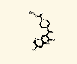 CCc1cnc2cc(C(C)N3CCN(C(=O)OC(C)(C)C)CC3)c(=O)[nH]c2c1